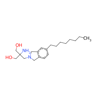 CCCCCCCCc1ccc2c(c1)CN(CC(N)(CO)CO)C2